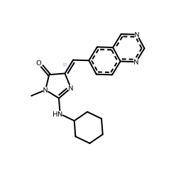 CN1C(=O)/C(=C/c2ccc3ncncc3c2)N=C1NC1CCCCC1